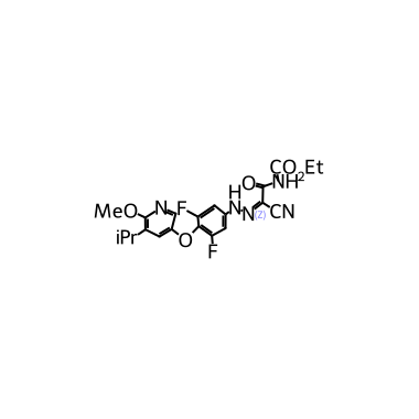 CCOC(=O)NC(=O)/C(C#N)=N\Nc1cc(F)c(Oc2cnc(OC)c(C(C)C)c2)c(F)c1